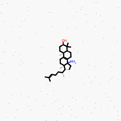 CC(C)=CCC[C@@H](C)[C@H]1CC[C@@]2(N)C3=C(CC[C@]12C)[C@@]1(C)CCC(O)C(C)(C)C1CC3